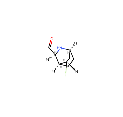 O=C[C@H]1N[C@H]2CC[C@@H]1[C@@H](F)C2